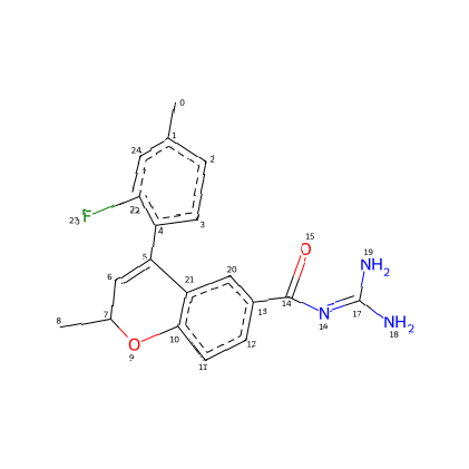 Cc1ccc(C2=CC(C)Oc3ccc(C(=O)N=C(N)N)cc32)c(F)c1